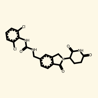 O=C1CCC(N2Cc3cc(CNC(=O)Nc4c(Cl)cccc4Cl)ccc3C2=O)C(=O)N1